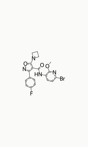 COc1nc(Br)ccc1NC(=O)c1c(-c2ccc(F)cc2)noc1N1CCC1